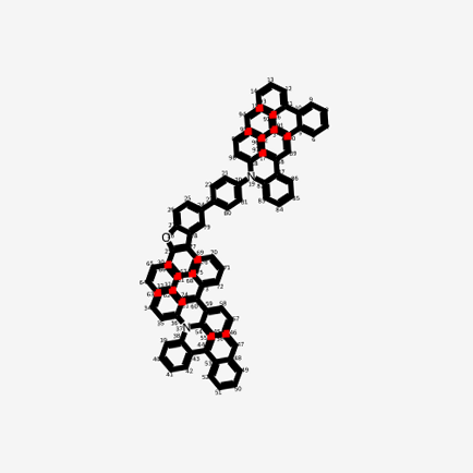 c1cc(-c2cc3ccccc3c3ccccc23)cc(N(c2ccc(-c3ccc4oc5cc(-c6cccc(N(c7ccccc7-c7cccc8ccccc78)c7ccccc7-c7cc8ccccc8c8ccccc78)c6)ccc5c4c3)cc2)c2ccccc2-c2ccc3ccccc3c2)c1